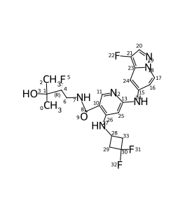 CC(C)(O)[C@H](F)CNC(=O)c1cnc(Nc2ccn3ncc(F)c3c2)cc1NC1CC(F)(F)C1